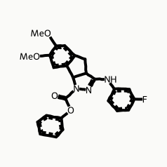 COc1cc2c(cc1OC)C1C(C2)C(Nc2cccc(F)c2)=NN1C(=O)Oc1ccccc1